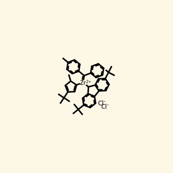 Cc1ccc(/[C](c2ccccc2)=[Zr+2](\[C]2=CC(C(C)(C)C)=CC2C)[CH]2c3cc(C(C)(C)C)ccc3-c3ccc(C(C)(C)C)cc32)cc1.[Cl-].[Cl-]